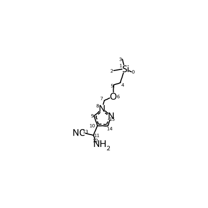 C[Si](C)(C)CCOCn1cc(C(N)C#N)cn1